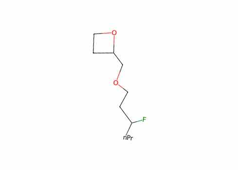 CCCC(F)CCOCC1CCO1